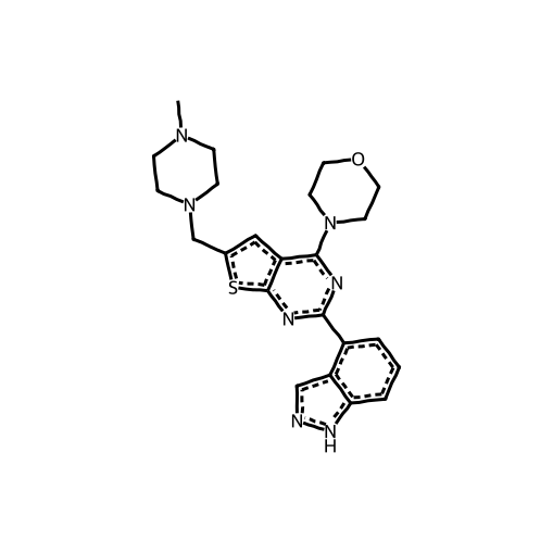 CN1CCN(Cc2cc3c(N4CCOCC4)nc(-c4cccc5[nH]ncc45)nc3s2)CC1